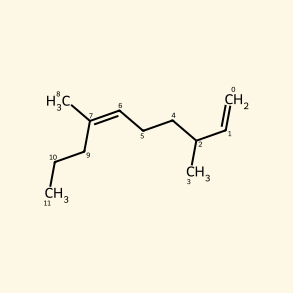 C=CC(C)CCC=C(C)CCC